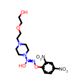 O=[N+]([O-])c1ccc(O/N=[N+](\O)N2CCN(CCOCCO)CC2)c([N+](=O)[O-])c1